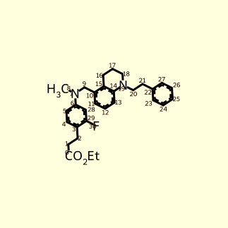 CCOC(=O)CCc1ccc(N(C)Cc2cccc3c2CCCN3CCc2ccccc2)cc1F